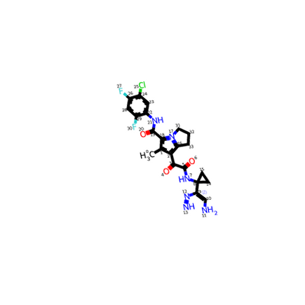 Cc1c(C(=O)C(=O)NC2(/C(=C/N)N=N)CC2)c2n(c1C(=O)Nc1cc(Cl)c(F)cc1F)CCC2